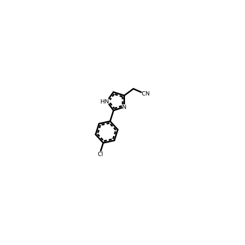 N#CCc1c[nH]c(-c2ccc(Cl)cc2)n1